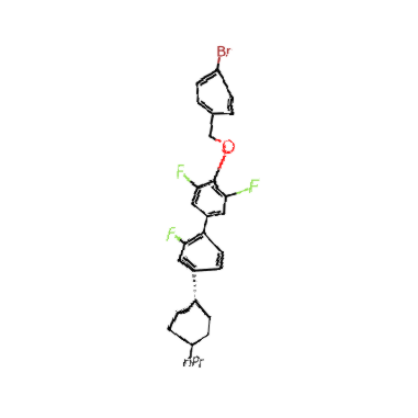 CCC[C@H]1CC[C@H](c2ccc(-c3cc(F)c(OCc4ccc(Br)cc4)c(F)c3)c(F)c2)CC1